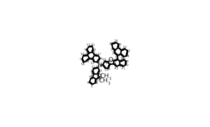 CC1(C)c2ccccc2-c2ccc(N(c3ccc4c(c3)oc3c(-c5cc6ccccc6c6ccccc56)c5ccccc5cc34)c3ccc4c5ccccc5c5ccccc5c4c3)cc21